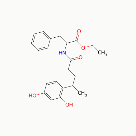 CCOC(=O)C(Cc1ccccc1)NC(=O)CCC(C)c1ccc(O)cc1O